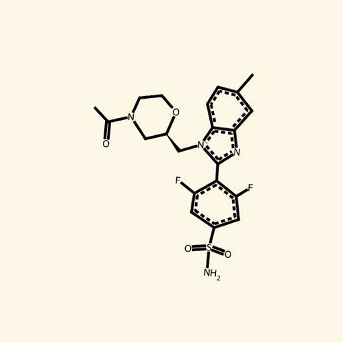 CC(=O)N1CCO[C@@H](Cn2c(-c3c(F)cc(S(N)(=O)=O)cc3F)nc3cc(C)ccc32)C1